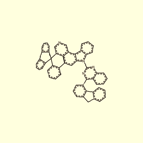 c1ccc2c(c1)Cc1cccc(-c3nc(-n4c5ccccc5c5c6cncc7c6c(cc54)-c4ccccc4C74c5ccccc5-c5ccccc54)nc4ccccc34)c1-2